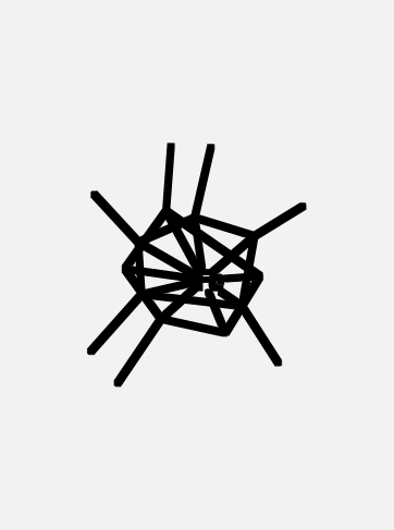 C[C]12[CH]3[CH]4[C]5(C)[CH]1[Fe]34251678[C]2(C)[C]1(C)[C]6(C)[C]7(C)[C]28C